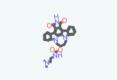 CN(C)CCNC(=O)OC1CCn2c3ccccc3c3c4c(c5c6ccccc6n(c5c32)C1)C(=O)NC4=O